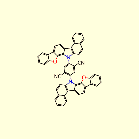 N#Cc1cc(-n2c3ccc4ccccc4c3c3ccc4c5ccccc5oc4c32)c(C#N)cc1-n1c2ccc3ccccc3c2c2ccc3c4ccccc4oc3c21